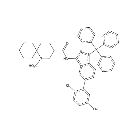 N#Cc1ccc(Cl)c(-c2ccc3c(c2)c(NC(=O)C2CCC4(CCCCC4)N(C(=O)O)C2)nn3C(c2ccccc2)(c2ccccc2)c2ccccc2)c1